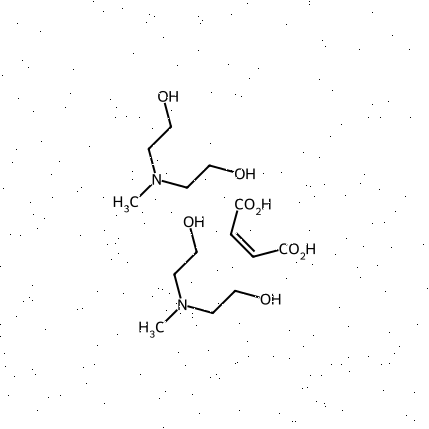 CN(CCO)CCO.CN(CCO)CCO.O=C(O)/C=C\C(=O)O